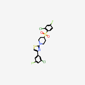 O=S(=O)(c1ccc(F)cc1Cl)C1CCN(c2nc(-c3cc(F)cc(Cl)c3)cs2)CC1